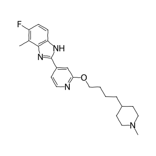 Cc1c(F)ccc2[nH]c(-c3ccnc(OCCCCC4CCN(C)CC4)c3)nc12